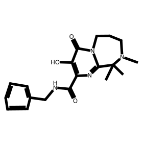 CN1CCCn2c(nc(C(=O)NCc3ccccc3)c(O)c2=O)C1(C)C